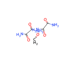 C=O.NC(=O)C(N)=O.NC(=O)C(N)=O